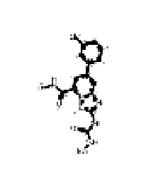 CCNC(=O)Nc1nc2cc(-c3cccc(Cl)c3)cc(C(=O)NCC)n2n1